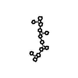 c1ccc(-n2c3ccccc3c3ccc(-c4ccc5c(c4)c4ccccc4n5-c4ccc(-c5ccc6c7ccc(-c8ccc9c%10ccccc%10n(-c%10ccccc%10)c9c8)cc7n(-c7ccccc7)c6c5)cc4)cc32)cc1